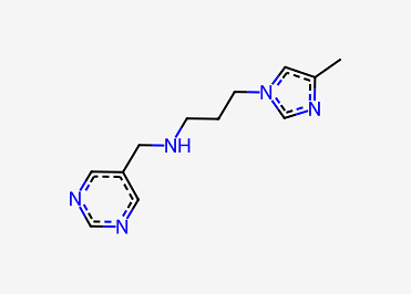 Cc1cn(CCCNCc2cncnc2)cn1